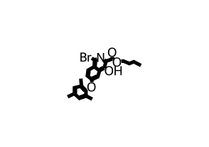 CCCCOC(=O)c1nc(Br)c2ccc(Oc3c(C)cc(C)cc3C)cc2c1O